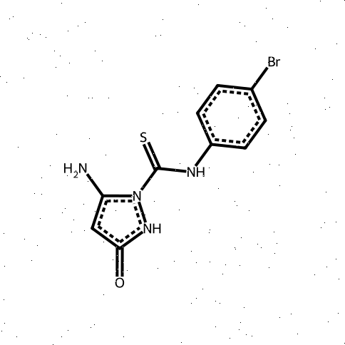 Nc1cc(=O)[nH]n1C(=S)Nc1ccc(Br)cc1